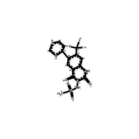 CS(=O)(=O)Nn1c(=O)[nH]c2cc(C(F)(F)F)c(-c3ccncn3)cc2c1=O